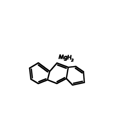 [MgH2].c1ccc2cc3ccccc3cc2c1